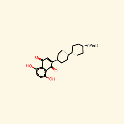 CCCCC[C@H]1CC[C@H]([C@H]2CC[C@H](C3=CC(=O)c4c(O)ccc(O)c4C3=O)CC2)CC1